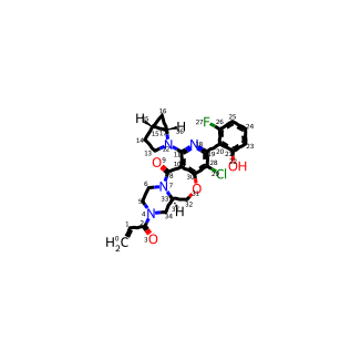 C=CC(=O)N1CCN2C(=O)c3c(N4CC[C@@H]5C[C@@H]54)nc(-c4c(O)cccc4F)c(Cl)c3OC[C@H]2C1